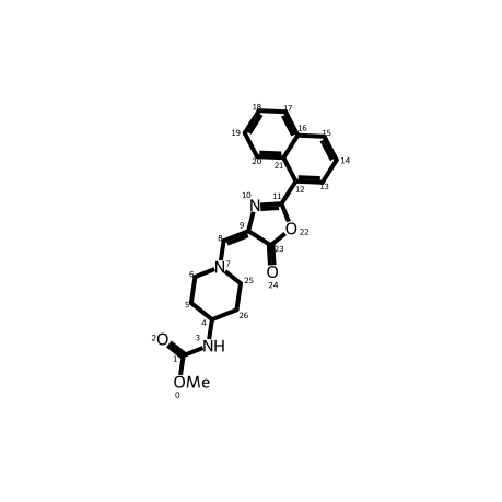 COC(=O)NC1CCN(/C=C2/N=C(c3cccc4ccccc34)OC2=O)CC1